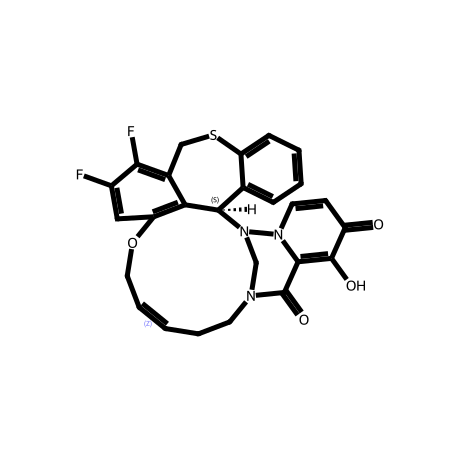 O=C1c2c(O)c(=O)ccn2N2CN1CC/C=C\COc1cc(F)c(F)c3c1[C@H]2c1ccccc1SC3